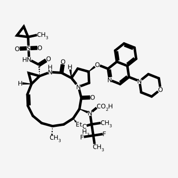 CC[C@@H]1C[C@H](C)CCC=C[C@@H]2C[C@@]2(C(=O)NS(=O)(=O)C2(C)CC2)NC(=O)[C@@H]2C[C@@H](Oc3ncc(N4CCOCC4)c4ccccc34)CN2C(=O)[C@H]1N(C(=O)O)C(C)(C)C(C)(F)F